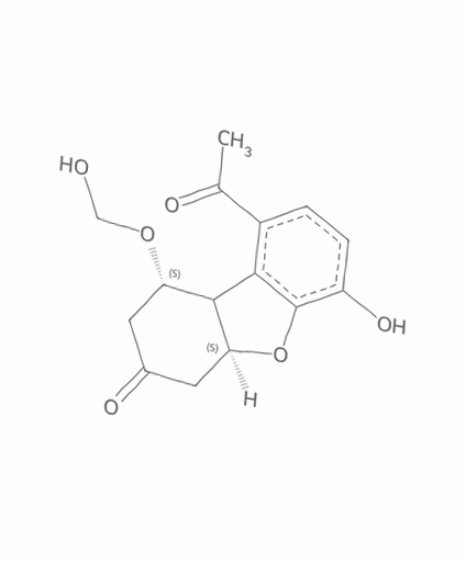 CC(=O)c1ccc(O)c2c1C1[C@@H](OCO)CC(=O)C[C@@H]1O2